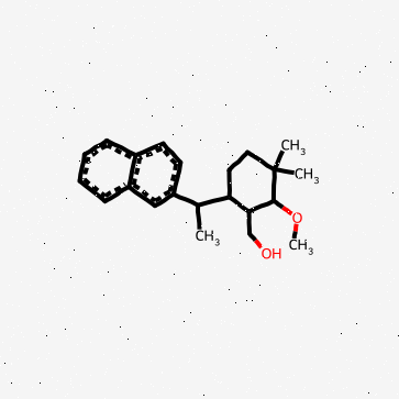 COC1C(CO)C(C(C)c2ccc3ccccc3c2)CCC1(C)C